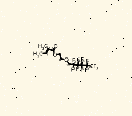 CC=C(C)C(=O)OCCOCC(F)(F)C(F)(F)C(F)(F)C(F)(F)C(F)(F)F